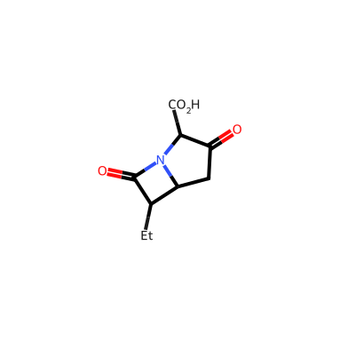 CCC1C(=O)N2C(C(=O)O)C(=O)CC12